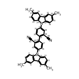 Cc1ccc2c(c1)c1cc(C)ccc1n2-c1ccc(-c2ccc(-n3c4ccc(C)cc4c4cc(C)ccc43)cc2C#N)c(C#N)c1